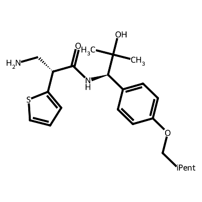 CCCC(C)COc1ccc([C@@H](NC(=O)[C@@H](CN)c2cccs2)C(C)(C)O)cc1